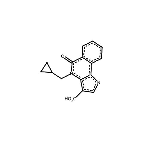 O=C(O)c1cnn2c3ccccc3c(=O)n(CC3CC3)c12